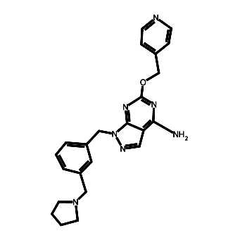 Nc1nc(OCc2ccncc2)nc2c1cnn2Cc1cccc(CN2CCCC2)c1